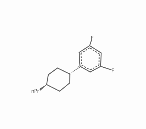 CCC[C@H]1CC[C@H](c2cc(F)cc(F)c2)CC1